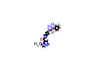 Cn1ccn2ncc(C(=O)N3CC4(CC(NC(=O)Nc5cccc(F)c5)C4)C3)c12